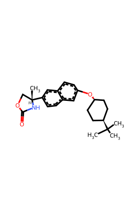 CC(C)(C)[C@H]1CC[C@@H](Oc2ccc3cc([C@@]4(C)COC(=O)N4)ccc3c2)CC1